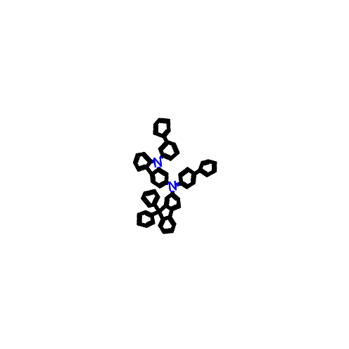 c1ccc(-c2ccc(N(c3ccc4c(c3)C(c3ccccc3)(c3ccccc3)c3ccccc3-4)c3ccc4c5ccccc5n(-c5cccc(-c6ccccc6)c5)c4c3)cc2)cc1